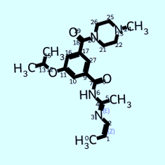 C/C=C\N=C(/C)NC(=O)c1cc(OC(C)C)cc(C(=O)N2CCN(C)CC2)c1